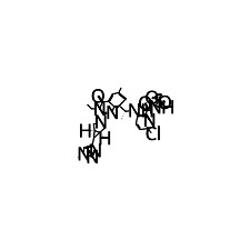 CCn1c(N2C[C@@H]3C(c4cn(C)nn4)[C@@H]3C2)nc2c([C@@H](C)Nc3ccc(Cl)nc3C(=O)NS(C)(=O)=O)cc(C)cc2c1=O